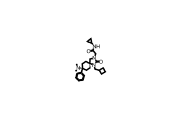 CN(C)[C@]1(c2ccccc2)CC[C@@]2(CC1)CN(CC(=O)NC1CC1)C(=O)N2CC1CCC1